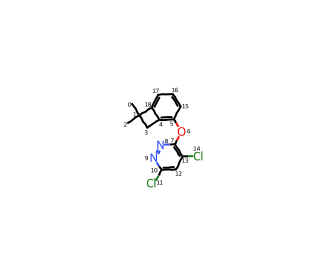 CC1(C)Cc2c(Oc3nnc(Cl)cc3Cl)cccc21